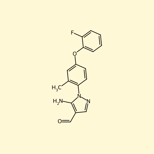 Cc1cc(Oc2ccccc2F)ccc1-n1ncc(C=O)c1N